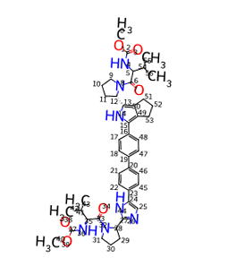 COC(=O)NC(C(=O)N1CCC[C@H]1c1[nH]c(-c2ccc(-c3ccc(-c4cnc(C5CCCN5C(=O)[C@@H](NC(=O)OC)C(C)C)[nH]4)cc3)cc2)c2c1CCC2)C(C)C